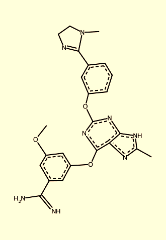 COc1cc(Oc2nc(Oc3cccc(C4=NCCN4C)c3)nc3[nH]c(C)nc23)cc(C(=N)N)c1